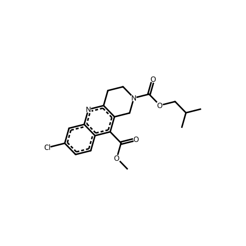 COC(=O)c1c2c(nc3cc(Cl)ccc13)CCN(C(=O)OCC(C)C)C2